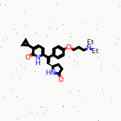 CCN(CC)CCCOc1ccc(/C(=C\[C@H]2CCC(=O)N2)c2ccc(C3CC3)c(=O)[nH]2)cc1